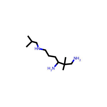 CC(C)CNCCCC(N)C(C)(C)CN